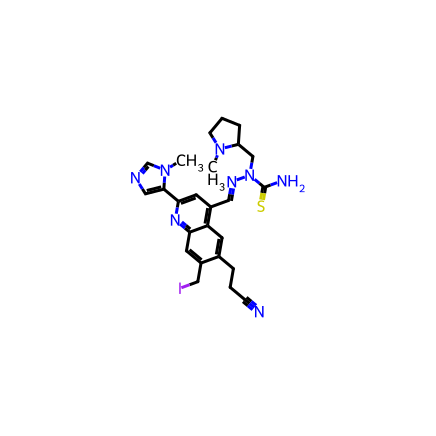 CN1CCCC1CN(/N=C/c1cc(-c2cncn2C)nc2cc(CI)c(CCC#N)cc12)C(N)=S